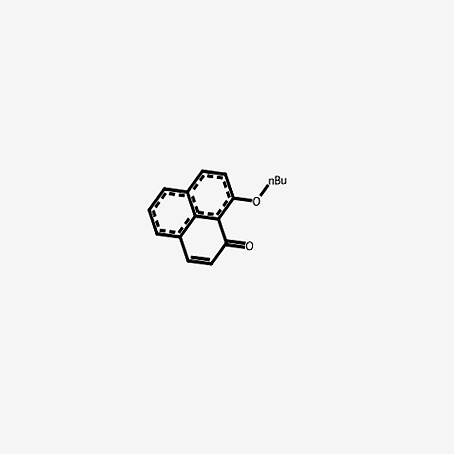 CCCCOc1ccc2cccc3c2c1C(=O)C=C3